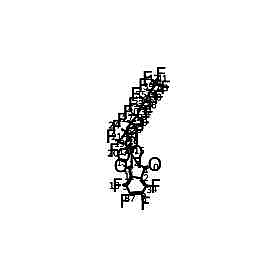 O=C1c2c(F)c(F)c(F)c(F)c2C(=O)N1OS(=O)(=O)C(F)(F)C(F)(F)C(F)(F)C(F)(F)C(F)(F)C(F)(F)C(F)(F)C(F)(F)F